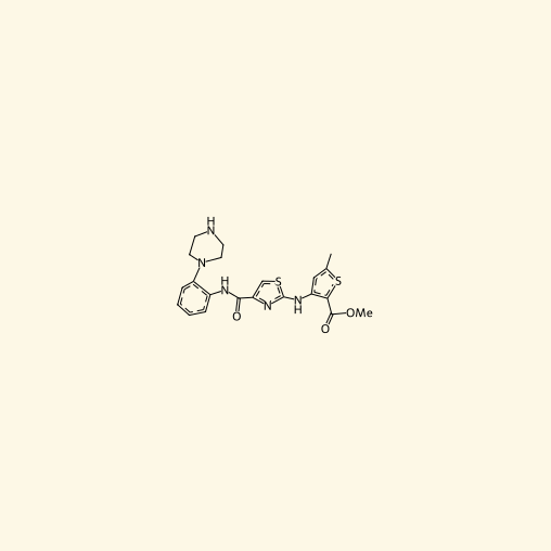 COC(=O)c1sc(C)cc1Nc1nc(C(=O)Nc2ccccc2N2CCNCC2)cs1